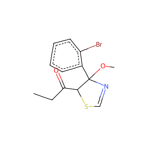 CCC(=O)C1SC=NC1(OC)c1ccccc1Br